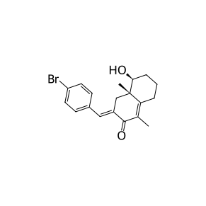 CC1=C2CCC[C@H](O)[C@@]2(C)C/C(=C\c2ccc(Br)cc2)C1=O